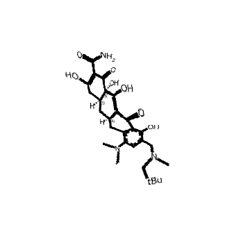 CN(Cc1cc(N(C)C)c2c(c1O)C(=O)C1=C(O)[C@]3(O)C(=O)C(C(N)=O)=C(O)C[C@@H]3C[C@@H]1C2)CC(C)(C)C